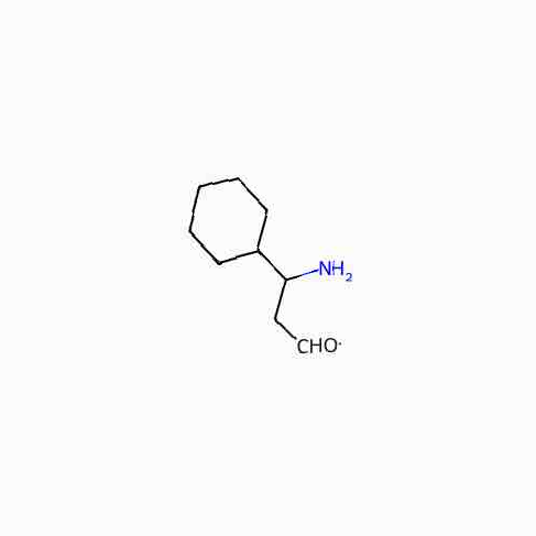 NC(C[C]=O)C1CCCCC1